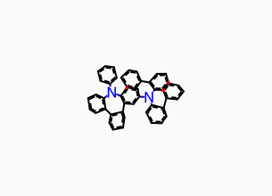 c1ccc(-c2ccccc2N(c2ccc3c(c2)-c2ccccc2-c2ccccc2N3c2ccccc2)c2ccccc2-c2ccccc2)cc1